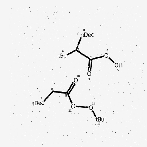 CCCCCCCCCCC(C(=O)OO)C(C)(C)C.CCCCCCCCCCCC(=O)OOC(C)(C)C